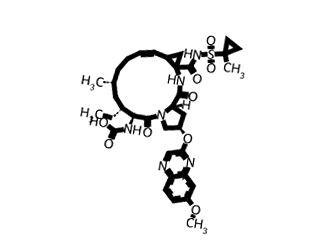 CC[C@@H]1C[C@H](C)CC/C=C\C2CC2(C(=O)NS(=O)(=O)C2(C)CC2)NC(=O)[C@@H]2C[C@@H](Oc3cnc4ccc(OC)cc4n3)CN2C(=O)[C@H]1NC(=O)O